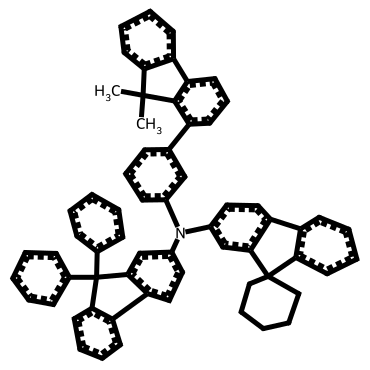 CC1(C)c2ccccc2-c2cccc(-c3cccc(N(c4ccc5c(c4)C4(CCCCC4)c4ccccc4-5)c4ccc5c(c4)C(c4ccccc4)(c4ccccc4)c4ccccc4-5)c3)c21